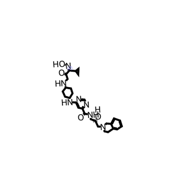 O=C(CNC1CCC(Nc2cc(C(=O)NC[C@H](O)CN3CCc4ccccc4C3)ncn2)CC1)/C(=N\O)C1CC1